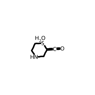 O.O=C=C1CNCCS1